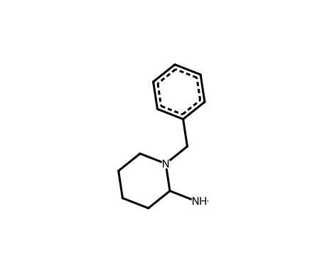 [NH]C1CCCCN1Cc1ccccc1